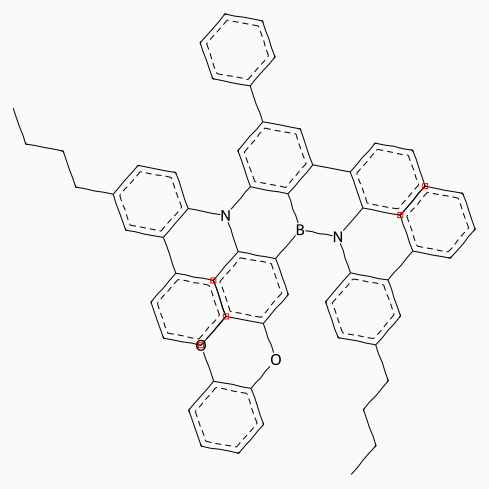 CCCCc1ccc(N2B3c4cc5c(cc4N(c4ccc(CCCC)cc4-c4ccccc4)c4cc(-c6ccccc6)cc(c43)-c3ccccc32)Oc2ccccc2O5)c(-c2ccccc2)c1